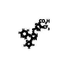 O=C(O)c1sc(Sc2nnc(-c3cccs3)n2-c2cccnc2)nc1C(F)(F)F